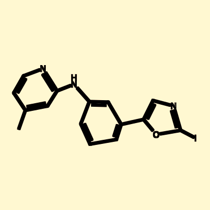 Cc1ccnc(Nc2cccc(-c3cnc(I)o3)c2)c1